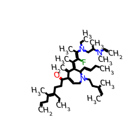 C=CC/C(C)=C(\CC)CCC(=O)C1=CCN(CC/C(C)=C\C)C(C=CCC)/C(=C(C)\C(F)=C(/C)N(CC)CC(C)N(C)C=C)C1=C